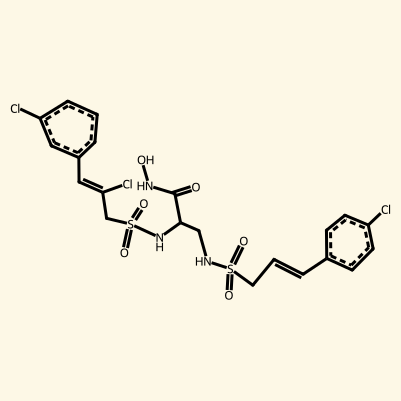 O=C(NO)C(CNS(=O)(=O)CC=Cc1ccc(Cl)cc1)NS(=O)(=O)CC(Cl)=Cc1cccc(Cl)c1